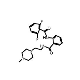 CN1CCN(CCNC(=O)c2ccccc2NC(=O)c2c(F)cccc2F)CC1